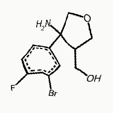 NC1(c2ccc(F)c(Br)c2)COCC1CO